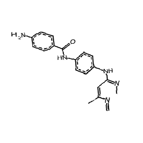 C=N/C(C)=C\C(=N/C)Nc1ccc(NC(=O)c2ccc(N)cc2)cc1